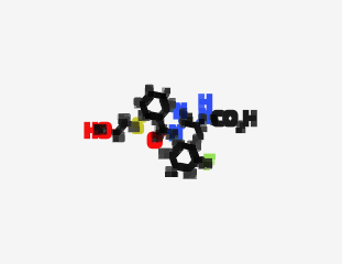 CC(NC(=O)O)c1nc2cccc(SCCO)c2c(=O)n1-c1cccc(F)c1